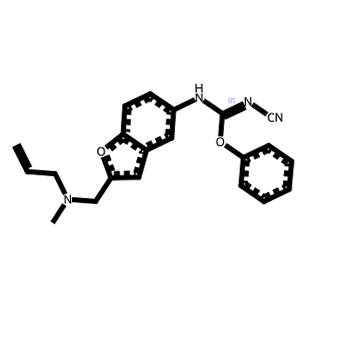 C=CCN(C)Cc1cc2cc(N/C(=N/C#N)Oc3ccccc3)ccc2o1